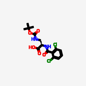 CC(C)(C)OC(=O)NC[C@H](NC(=O)c1c(Cl)cccc1Cl)C(=O)O